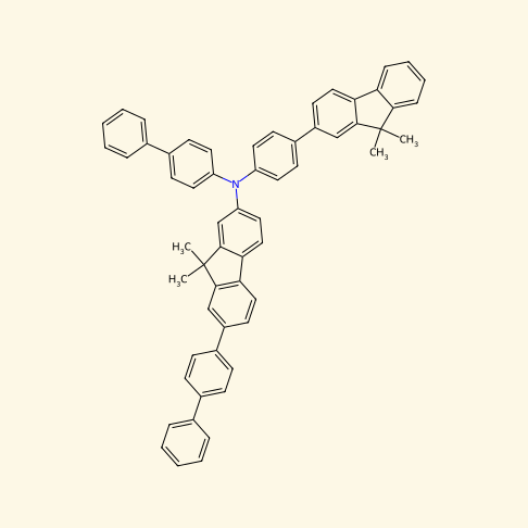 CC1(C)c2ccccc2-c2ccc(-c3ccc(N(c4ccc(-c5ccccc5)cc4)c4ccc5c(c4)C(C)(C)c4cc(-c6ccc(-c7ccccc7)cc6)ccc4-5)cc3)cc21